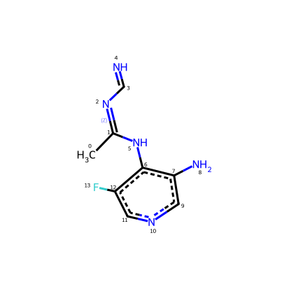 C/C(=N/C=N)Nc1c(N)cncc1F